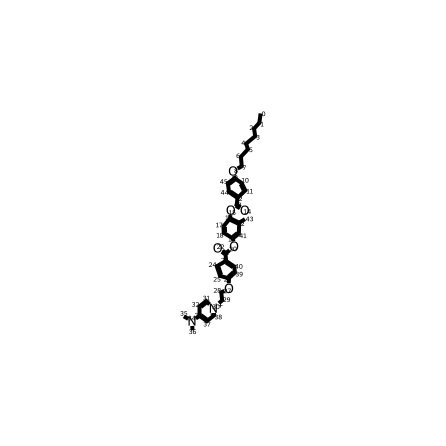 CCCCCCCCOc1ccc(C(=O)Oc2ccc(OC(=O)c3ccc(OCC[n+]4ccc(N(C)C)cc4)cc3)cc2C)cc1